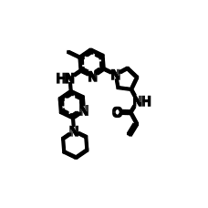 C=CC(=O)NC1CCN(c2ccc(C)c(Nc3ccc(N4CCCCC4)nc3)n2)C1